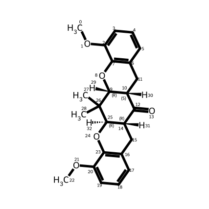 COc1cccc2c1O[C@@H]1[C@H](C2)C(=O)[C@@H]2Cc3cccc(OC)c3O[C@H]2C1(C)C